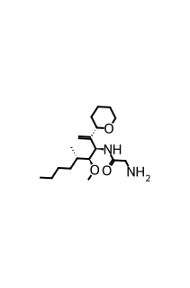 C=C([C@@H]1CCCCO1)[C@@H](NC(=O)CN)[C@@H](OC)[C@@H](C)CCCC